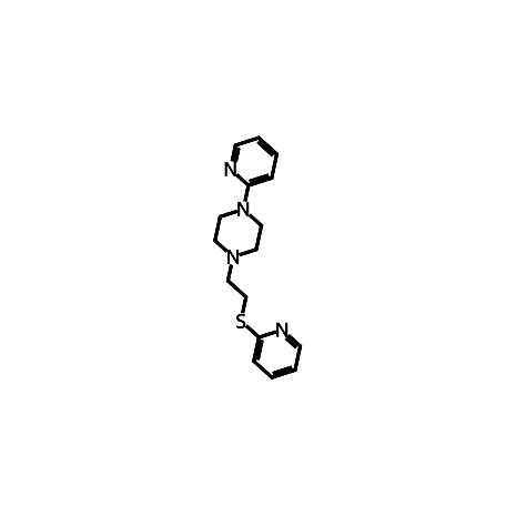 c1ccc(SCCN2CCN(c3ccccn3)CC2)nc1